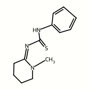 CN1CCCCC1=NC(=S)Nc1ccccc1